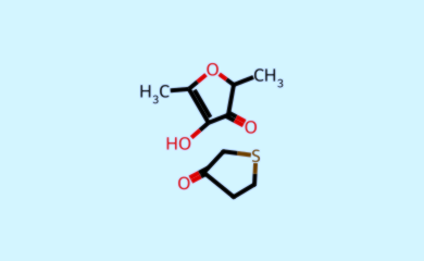 CC1=C(O)C(=O)C(C)O1.O=C1CCSC1